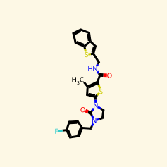 Cc1cc(N2CCN(Cc3ccc(F)cc3)C2=O)sc1C(=O)NCc1cc2ccccc2s1